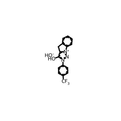 Oc1c2[n+](nn1-c1ccc(C(F)(F)F)cc1)-c1ccccc1C2.[OH-]